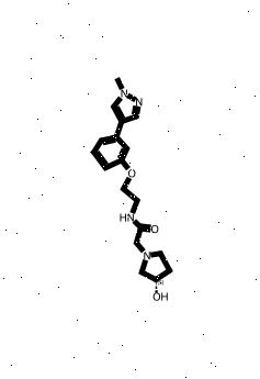 Cn1cc(-c2c[c]cc(OCCNC(=O)CN3CC[C@H](O)C3)c2)cn1